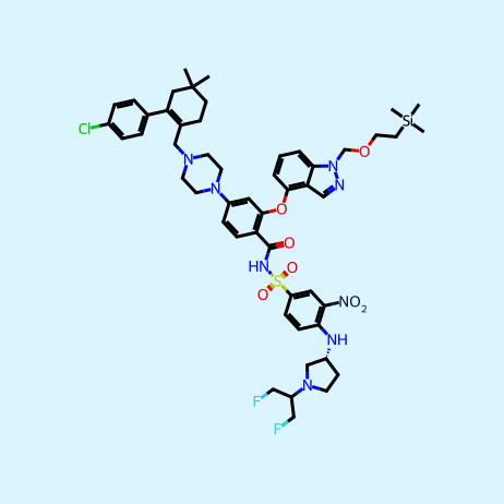 CC1(C)CCC(CN2CCN(c3ccc(C(=O)NS(=O)(=O)c4ccc(N[C@@H]5CCN(C(CF)CF)C5)c([N+](=O)[O-])c4)c(Oc4cccc5c4cnn5COCC[Si](C)(C)C)c3)CC2)=C(c2ccc(Cl)cc2)C1